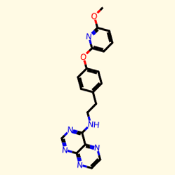 COc1cccc(Oc2ccc(CCNc3ncnc4nccnc34)cc2)n1